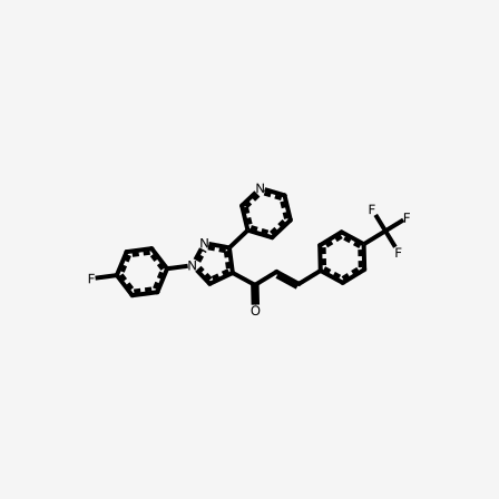 O=C(C=Cc1ccc(C(F)(F)F)cc1)c1cn(-c2ccc(F)cc2)nc1-c1cccnc1